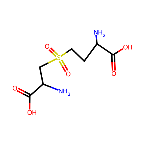 NC(CCS(=O)(=O)CC(N)C(=O)O)C(=O)O